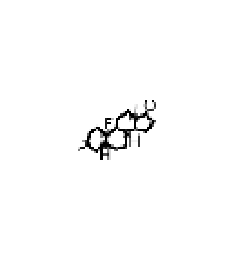 C[C@H]1CC[C@]2(F)C3CC[C@]4(C)C(=O)CCC4[C@@H]3CC[C@@H]2C1